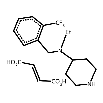 CCN(Cc1ccccc1C(F)(F)F)C1CCNCC1.O=C(O)C=CC(=O)O